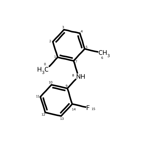 Cc1cccc(C)c1Nc1ccccc1F